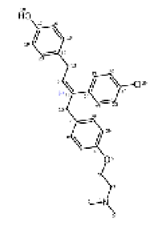 CN(C)CCOc1ccc(C/C(=C/Cc2ccc(O)cc2)c2ccc(Cl)cc2)cc1